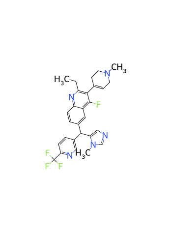 CCc1nc2ccc(C(c3ccc(C(F)(F)F)nc3)c3cncn3C)cc2c(F)c1C1=CCN(C)CC1